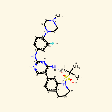 CN1CCN(c2ccc(Nc3ncc(-c4ccc5c(c4)N(S(=O)(=O)C(C)(C)C)CCC5)c(N)n3)cc2F)CC1